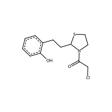 O=C(CCl)N1CCSC1CCc1ccccc1O